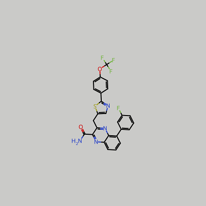 NC(=O)c1nc2cccc(-c3cccc(F)c3)c2nc1Cc1cnc(-c2ccc(OC(F)(F)F)cc2)s1